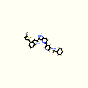 Cc1ccc(-c2cccc3[nH]c(-c4n[nH]c5ccc(-c6cncc(NC(=O)C7CCCCC7)c6)nc45)cc23)s1